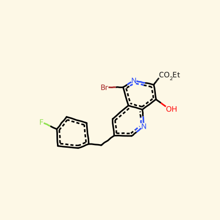 CCOC(=O)c1nc(Br)c2cc(Cc3ccc(F)cc3)cnc2c1O